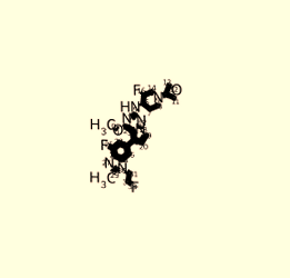 COc1nc(N[C@@H]2CCN(C3COC3)C[C@@H]2F)nn2ccc(-c3cc(F)c4nc(C)n(CCF)c4c3)c12